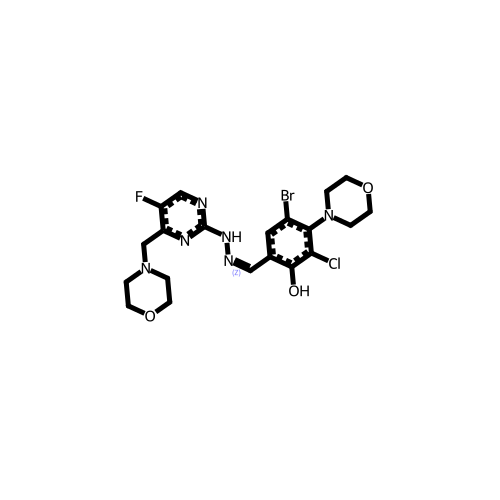 Oc1c(/C=N\Nc2ncc(F)c(CN3CCOCC3)n2)cc(Br)c(N2CCOCC2)c1Cl